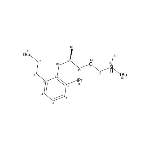 CC(C)c1cccc(CCC(C)(C)C)c1C[C@@H](C)COC[SiH](C)C(C)(C)C